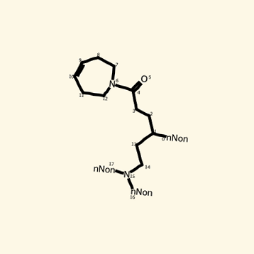 CCCCCCCCCC(CCC(=O)N1CCC=CCC1)CCN(CCCCCCCCC)CCCCCCCCC